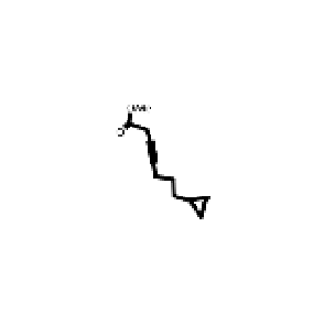 COC(=O)CC#CCCCC1[CH]C1